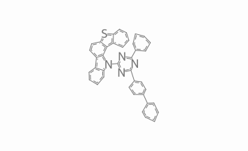 c1ccc(-c2ccc(-c3nc(-c4ccccc4)nc(-n4c5ccccc5c5ccc6sc7ccccc7c6c54)n3)cc2)cc1